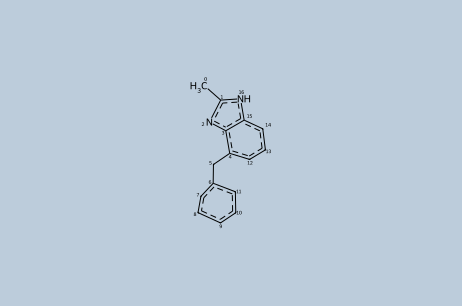 Cc1nc2c(Cc3ccccc3)cccc2[nH]1